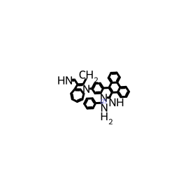 C=CC1=C(C=N)C2=CC(C=CC=C2)N1c1ccc(-c2c(C(=N)/N=C(\N)c3ccccc3)c3ccccc3c3ccccc23)cc1